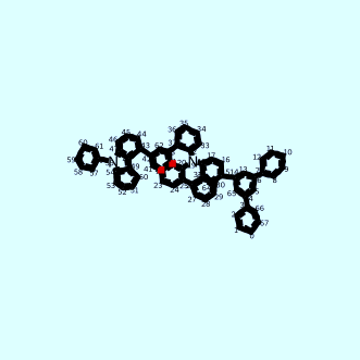 c1ccc(-c2cc(-c3ccccc3)cc(-c3ccc(N(c4ccccc4-c4ccccc4)c4ccccc4-c4cccc(-c5cccc6c5c5ccccc5n6-c5ccccc5)c4)cc3)c2)cc1